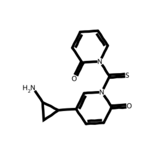 NC1CC1c1ccc(=O)n(C(=S)n2ccccc2=O)c1